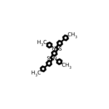 Cc1ccc(-c2ccc3c(c2)sc2c4cc5c(cc4n(-c4ccc(C)cc4)c32)c2sc3cc(-c4ccc(C)cc4)ccc3c2n5-c2ccc(C)cc2)cc1